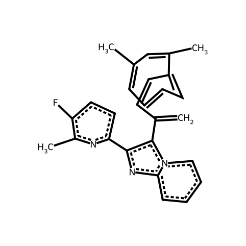 C=C(\C=C/C1=C\C=C\C=C(C)/C=C\1C)c1c(-c2ccc(F)c(C)n2)nc2ccccn12